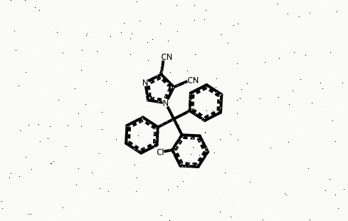 N#Cc1ncn(C(c2ccccc2)(c2ccccc2)c2ccccc2Cl)c1C#N